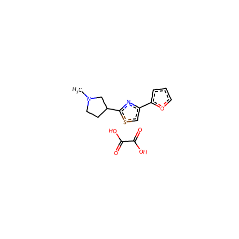 CN1CCC(c2nc(-c3ccco3)cs2)C1.O=C(O)C(=O)O